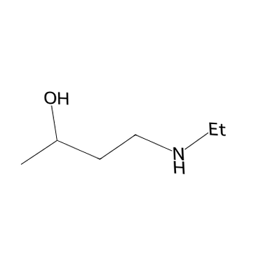 [CH2]CNCCC(C)O